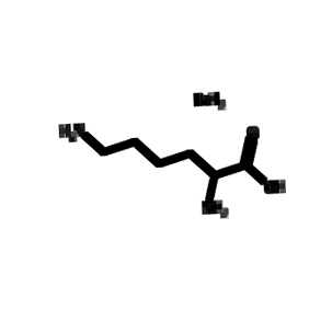 NCCCCC(N)C(=O)O.[BaH2]